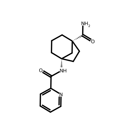 NC(=O)[C@]12CCC[C@](NC(=O)c3ccccn3)(CC1)C2